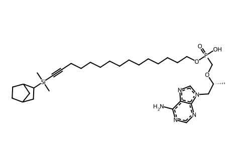 C[C@H](Cn1cnc2c(N)ncnc21)OCP(=O)(O)OCCCCCCCCCCCCCC#C[Si](C)(C)C1CC2CCC1C2